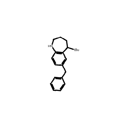 CC(C)(C)C1CCCNc2ccc(Cc3ccccc3)cc21